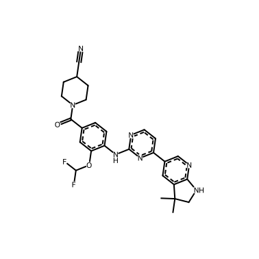 CC1(C)CNc2ncc(-c3ccnc(Nc4ccc(C(=O)N5CCC(C#N)CC5)cc4OC(F)F)n3)cc21